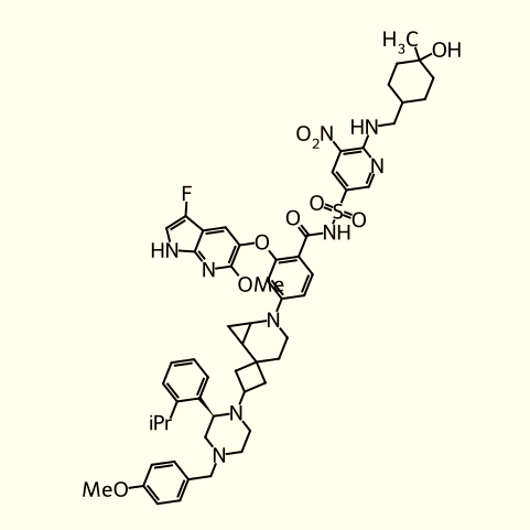 COc1ccc(CN2CCN(C3CC4(CCN(c5ccc(C(=O)NS(=O)(=O)c6cnc(NCC7CCC(C)(O)CC7)c([N+](=O)[O-])c6)c(Oc6cc7c(F)c[nH]c7nc6OC)c5)C5CC54)C3)[C@H](c3ccccc3C(C)C)C2)cc1